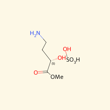 COC(=O)[C@@H](O)CCN.O=S(=O)(O)O